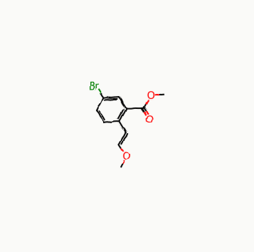 CO/C=C/c1ccc(Br)cc1C(=O)OC